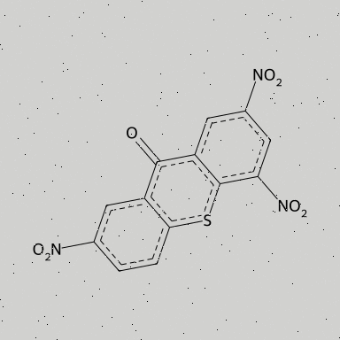 O=c1c2cc([N+](=O)[O-])ccc2sc2c([N+](=O)[O-])cc([N+](=O)[O-])cc12